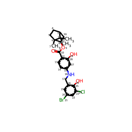 CC1(C)C2CCC1(C)C(OC(=O)c1ccc(NCc3cc(Br)cc(Cl)c3O)cc1O)C2